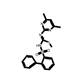 CS/C(=N\c1nc(C)cc(C)n1)NS(=O)(=O)c1ccccc1-c1ccccc1